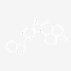 O=c1[nH]c2cnc(-c3cnn4ccccc34)nc2n1C1CCOc2c(F)cccc21